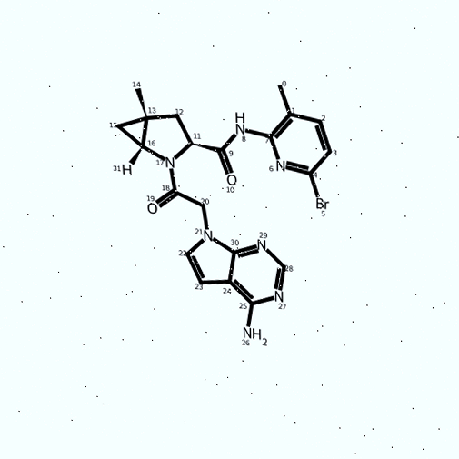 Cc1ccc(Br)nc1NC(=O)[C@@H]1C[C@@]2(C)C[C@H]2N1C(=O)Cn1ccc2c(N)ncnc21